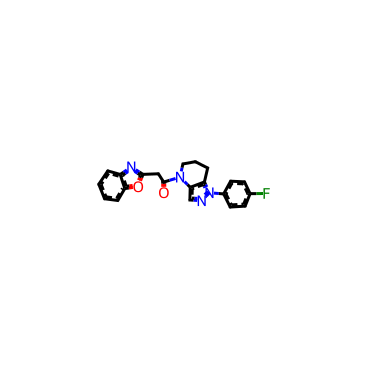 O=C(Cc1nc2ccccc2o1)N1CCCc2c1cnn2-c1ccc(F)cc1